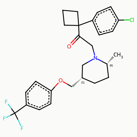 C[C@@H]1CC[C@H](COc2ccc(C(F)(F)F)cc2)CN1CC(=O)C1(c2ccc(Cl)cc2)CCC1